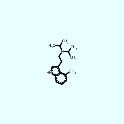 Cc1cccc2[nH]cc(CCN(C(C)C)C(C)C)c12